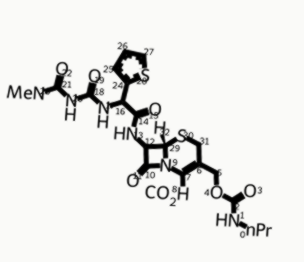 CCCNC(=O)OCC1=C(C(=O)O)N2C(=O)C(NC(=O)C(NC(=O)NC(=O)NC)c3cccs3)[C@@H]2SC1